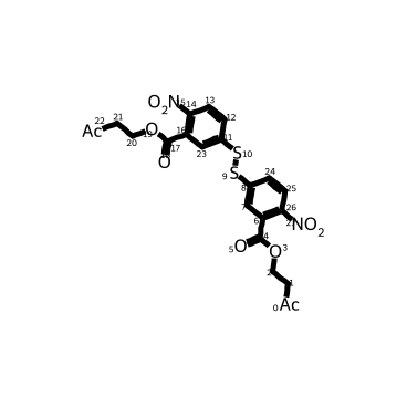 CC(=O)CCOC(=O)c1cc(SSc2ccc([N+](=O)[O-])c(C(=O)OCCC(C)=O)c2)ccc1[N+](=O)[O-]